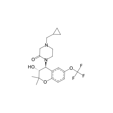 CC1(C)Oc2ccc(OC(F)(F)F)cc2[C@H](N2CCN(CC3CC3)CC2=O)[C@H]1O